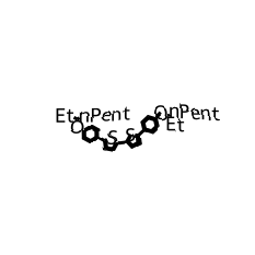 CCCCCC(CC)Oc1ccc(-c2ccc(-c3ccc(-c4ccc(OC(CC)CCCCC)cc4)s3)s2)cc1